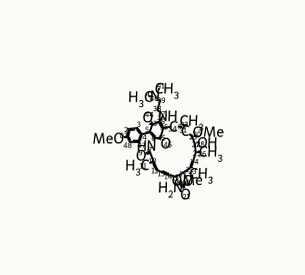 COc1ccc(C2=C3NC(=O)C(C)=CC=C[C@H](OC)[C@@H](OC(N)=O)C(C)=C[C@H](C)[C@@H](O)[C@@H](OC)C[C@H](C)CC(=C(NCCN(C)C)C2=O)C3=O)cc1